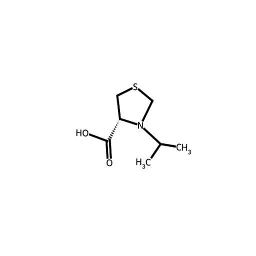 CC(C)N1CSC[C@H]1C(=O)O